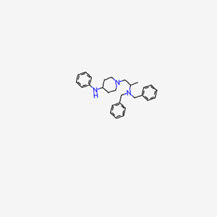 CC(CN1CCC(Nc2ccccc2)CC1)N(Cc1ccccc1)Cc1ccccc1